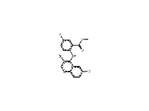 COC(=O)c1cc(F)ccc1Nc1c(Br)cnc2ccc(Cl)cc12